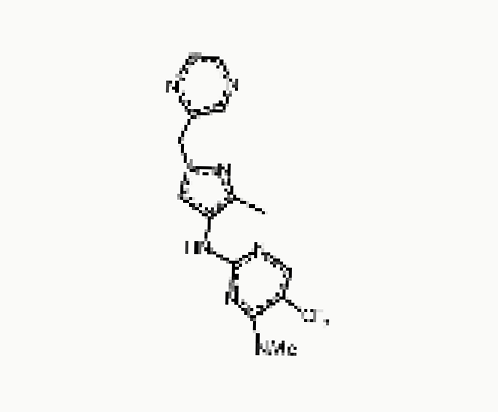 CNc1nc(Nc2cn(Cc3cnccn3)nc2C)ncc1C(F)(F)F